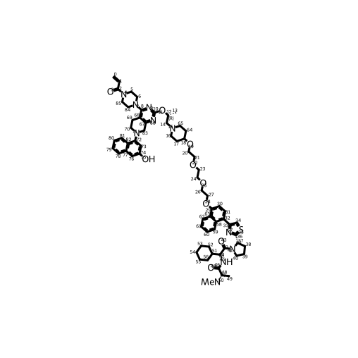 C=CC(=O)N1CCN(c2nc(O[C@H](C)CN3CCC(OCCOCCOCCOc4ccc(-c5csc([C@@H]6CCCN6C(=O)[C@@H](NC(=O)[C@H](C)NC)C6CCCCC6)n5)c5ccccc45)CC3)nc3c2CCN(c2cc(O)cc4ccccc24)C3)CC1